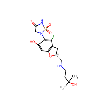 CC(C)(O)CCNC[C@H]1Cc2c(cc(O)c(N3CC(=O)NS3(=O)=O)c2F)O1